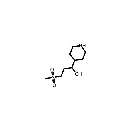 CS(=O)(=O)CCC(O)C1CCNCC1